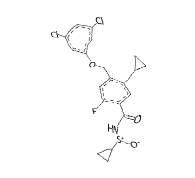 O=C(N[S+]([O-])C1CC1)c1cc(C2CC2)c(COc2cc(Cl)cc(Cl)c2)cc1F